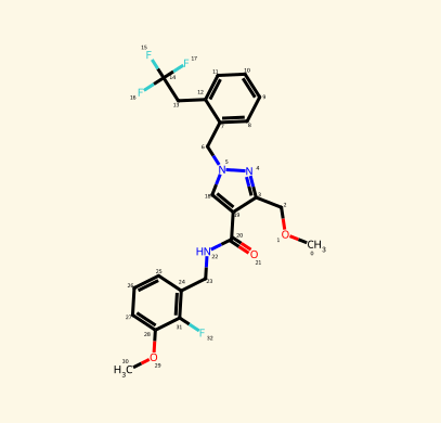 COCc1nn(Cc2ccccc2CC(F)(F)F)cc1C(=O)NCc1cccc(OC)c1F